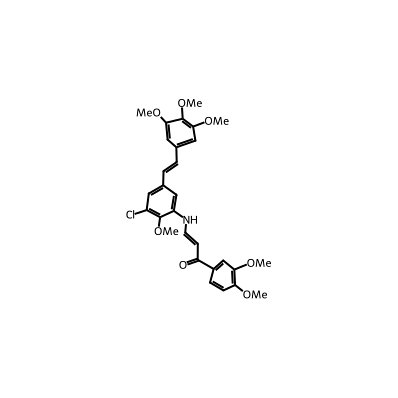 COc1ccc(C(=O)C=CNc2cc(C=Cc3cc(OC)c(OC)c(OC)c3)cc(Cl)c2OC)cc1OC